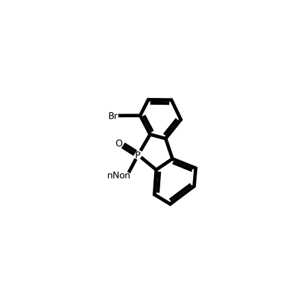 CCCCCCCCCP1(=O)c2ccccc2-c2cccc(Br)c21